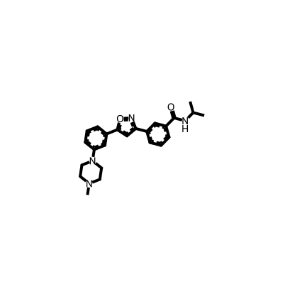 CC(C)NC(=O)c1cccc(-c2cc(-c3cccc(N4CCN(C)CC4)c3)on2)c1